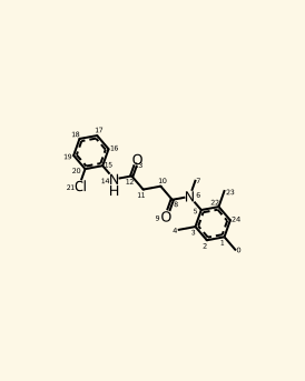 Cc1cc(C)c(N(C)C(=O)CCC(=O)Nc2ccccc2Cl)c(C)c1